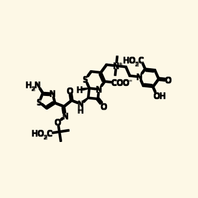 CC(C)(ON=C(C(=O)N[C@@H]1C(=O)N2C(C(=O)[O-])=C(C[N+](C)(C)CCn3cc(O)c(=O)cc3C(=O)O)CS[C@@H]12)c1csc(N)n1)C(=O)O